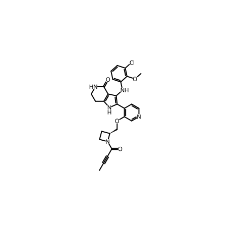 CC#CC(=O)N1CC[C@H]1COc1cnccc1-c1[nH]c2c(c1Nc1cccc(Cl)c1OC)C(=O)NCC2